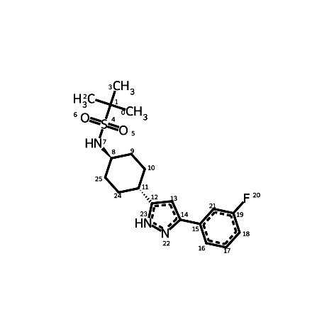 CC(C)(C)S(=O)(=O)N[C@H]1CC[C@H](c2cc(-c3cccc(F)c3)n[nH]2)CC1